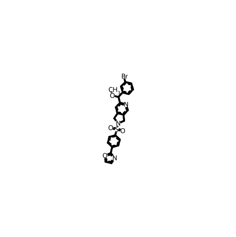 COC(c1cccc(Br)c1)c1cc2c(cn1)CN(S(=O)(=O)c1ccc(-c3ncco3)cc1)C2